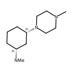 CN[C@@H]1CCC[C@H](N2CCN(C)CC2)C1